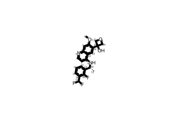 COc1cc2nccc(N[C@H](C)c3cccc(C(F)F)c3F)c2cc1C1(O)COC1